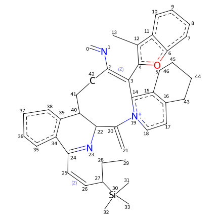 C=N/C1=C(\c2oc3ccccc3c2C)c2c3c(cc[n+]2C(=C)C2N=C(/C=C\C(CC)[Si](C)(C)C)c4ccccc4C2CC1)CCCC3